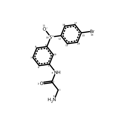 NCC(=O)Nc1cccc([S+]([O-])c2ccc(Br)cc2)c1